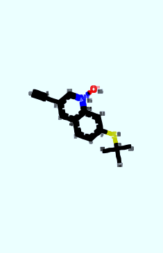 C#Cc1cc2ccc(SC(C)(C)C)cc2[n+]([O-])c1